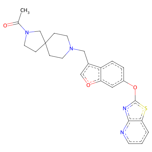 CC(=O)N1CCC2(CCN(Cc3coc4cc(Oc5nc6ncccc6s5)ccc34)CC2)C1